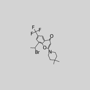 CC(Br)c1cc(C(F)(F)F)cc2c(=O)cc(N3CCC(C)(C)CC3)oc12